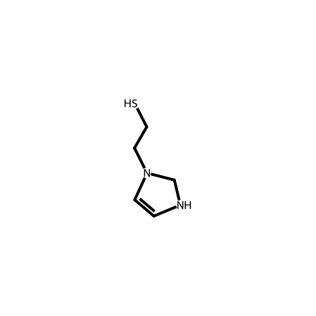 SCCN1C=CNC1